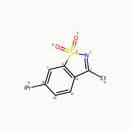 CCC1=NS(=O)(=O)c2cc(C(C)C)ccc21